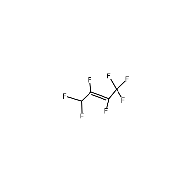 F[C](F)C(F)=C(F)C(F)(F)F